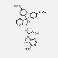 COc1ccc(C(OC[C@@H]2CC(O)[C@H](n3cnc4c(N)ncnc43)O2)(c2ccccc2)c2ccc(OC)cc2)cc1